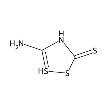 NC1=[SH]SC(=S)N1